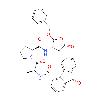 C[C@H](NC(=O)c1cccc2c1-c1ccccc1C2=O)C(=O)N1CCC[C@H]1C(=O)N[C@H]1CC(=O)OC1OCc1ccccc1